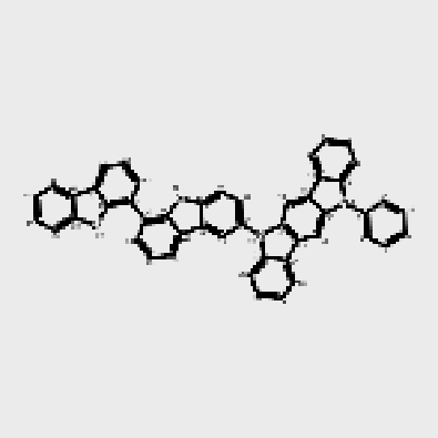 c1ccc(-n2c3ccccc3c3cc4c(cc32)c2ccccc2n4-c2ccc3sc4c(-c5cccc6c5oc5ccccc56)cccc4c3c2)cc1